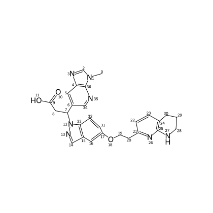 Cn1cnc2cc(C(CC(=O)O)n3ncc4cc(OCCc5ccc6c(n5)NCCC6)ccc43)cnc21